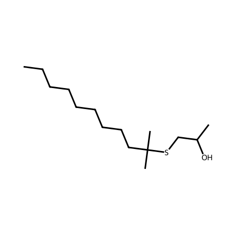 CCCCCCCCCC(C)(C)SCC(C)O